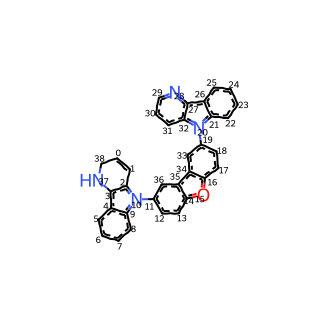 C1=Cc2c(c3ccccc3n2-c2ccc3oc4ccc(-n5c6ccccc6c6ncccc65)cc4c3c2)NC1